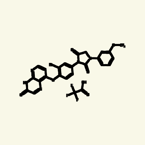 CCc1cc(N2C(=O)CN(c3cccc(OC(F)(F)F)c3)C2=O)ccc1Oc1ccnc2[nH]c(=O)cnc12.O=C(O)C(F)(F)F